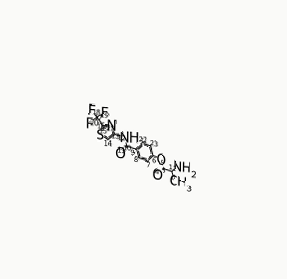 CC(N)C(=O)Oc1ccc(C(=O)Nc2csc(C(F)(F)F)n2)cc1